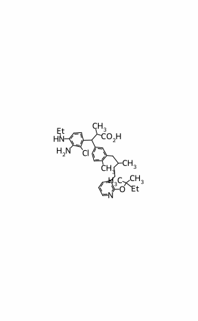 CCNc1ccc(C(c2ccc(C)c(CC(C)CCc3cccnc3OC(C)(C)CC)c2)C(C)C(=O)O)c(Cl)c1N